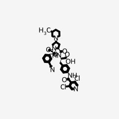 CC1CCCN(C2C[C@@H](C(=O)N[C@@H](Cc3ccc(NC(=O)c4c(Cl)cncc4Cl)cc3)C(=O)O)N(S(=O)(=O)c3cccc(C#N)c3)C2)C1